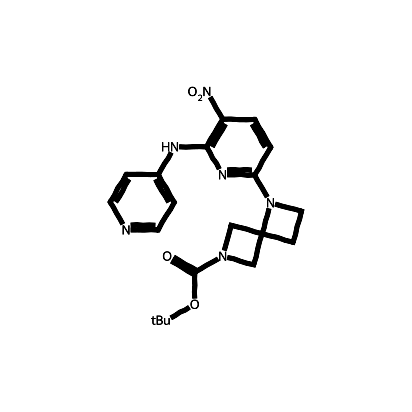 CC(C)(C)OC(=O)N1CC2(CCN2c2ccc([N+](=O)[O-])c(Nc3ccncc3)n2)C1